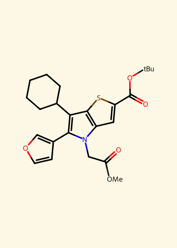 COC(=O)Cn1c(-c2ccoc2)c(C2CCCCC2)c2sc(C(=O)OC(C)(C)C)cc21